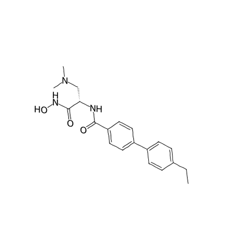 CCc1ccc(-c2ccc(C(=O)N[C@@H](CN(C)C)C(=O)NO)cc2)cc1